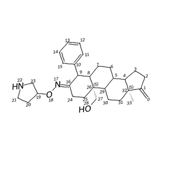 C=C1CCC2C3CCC4C(c5ccccc5)C(=NOC5CCNC5)CC[C@]4(CO)C3CC[C@]12C